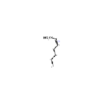 O=C(O)/C=C\CCCI